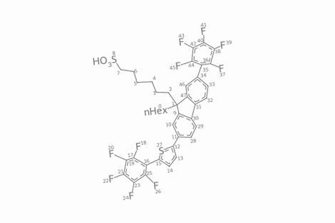 CCCCCCC1(CCCCCCS(=O)(=O)O)c2cc(-c3ccc(-c4c(F)c(F)c(F)c(F)c4F)s3)ccc2-c2ccc(-c3c(F)c(F)c(F)c(F)c3F)cc21